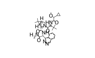 COC(C(=O)N[C@H](C(=O)N1C[C@H]2[C@@H]([C@H]1C(=O)NC(C(N)=O)c1nncc3ccccc13)C2(C)C)C(C)(C)C)C1CC1